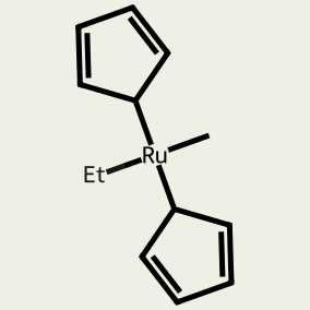 C[CH2][Ru]([CH3])([CH]1C=CC=C1)[CH]1C=CC=C1